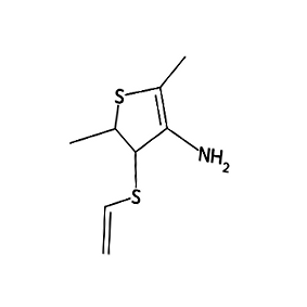 C=CSC1C(N)=C(C)SC1C